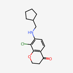 O=C1CCOc2c1ccc(NCC1CCCC1)c2Cl